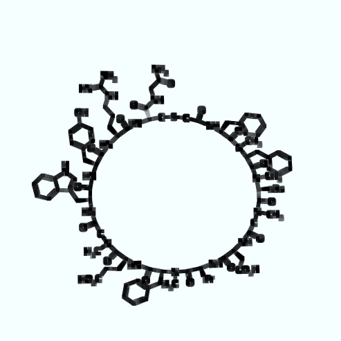 CCCC[C@H]1C(=O)N(C)CC(=O)N[C@@H](CC(=O)O)C(=O)N[C@@H](C(C)C)C(=O)N(C)[C@@H](Cc2ccccc2)C(=O)N[C@@H](CCC(=O)O)C(=O)N(C)CC(=O)N[C@@H](Cc2c[nH]c3ccccc23)C(=O)N[C@@H](Cc2ccc(O)cc2)C(=O)N[C@@H](CCCNC(=N)N)C(=O)N[C@H](C(=O)NCC(N)=O)CSCC(=O)N[C@@H](Cc2ccccc2)C(=O)N(C)C(Cc2ccccc2)C(=O)N1C